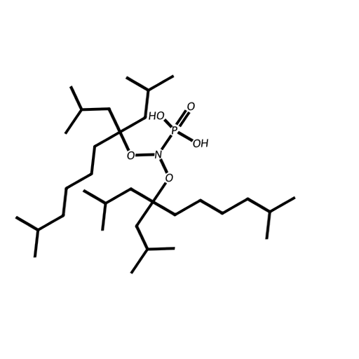 CC(C)CCCCC(CC(C)C)(CC(C)C)ON(OC(CCCCC(C)C)(CC(C)C)CC(C)C)P(=O)(O)O